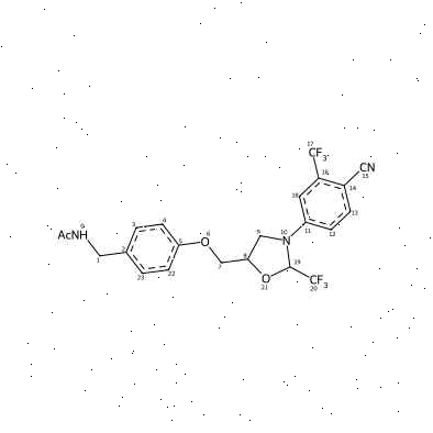 CC(=O)NCc1ccc(OCC2CN(c3ccc(C#N)c(C(F)(F)F)c3)C(C(F)(F)F)O2)cc1